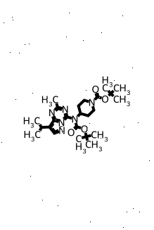 Cc1nc(N(C(=O)OC(C)(C)C)C2CCN(C(=O)OC(C)(C)C)CC2)n2ncc(C(C)C)c2n1